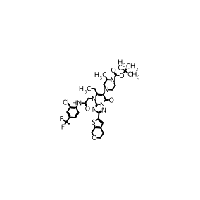 CCc1c(N2CCN(C(=O)OC(C)(C)C)C(C)C2)c(=O)n2nc(-c3cc4c(s3)COCC4)nc2n1CC(=O)Nc1ccc(C(F)(F)F)cc1Cl